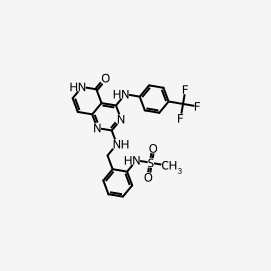 CS(=O)(=O)Nc1ccccc1CNc1nc(Nc2ccc(C(F)(F)F)cc2)c2c(=O)[nH]ccc2n1